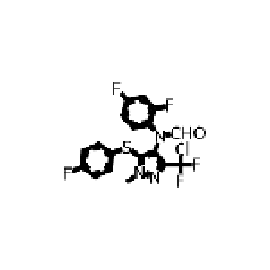 Cn1nc(C(F)(F)Cl)c(N(C=O)c2ccc(F)cc2F)c1Sc1ccc(F)cc1